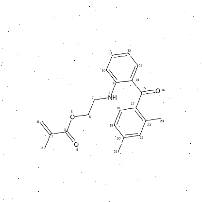 C=C(C)C(=O)OCCNc1ccccc1C(=O)c1ccc(C)cc1C